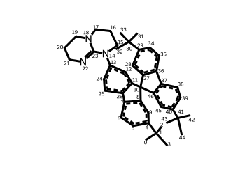 CC(C)(C)c1ccc2c(c1)C1(c3cc(N4CCCN5CCCN=C54)ccc3-2)c2cc(C(C)(C)C)ccc2-c2ccc(C(C)(C)C)cc21